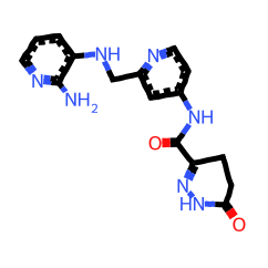 Nc1ncccc1NCc1cc(NC(=O)C2=NNC(=O)CC2)ccn1